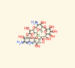 CC1OC(OC2C(CCl)OC(OC3C(OC4OC(CO)CC(O)C4N)CCC(N)C3O)C2O)C(N)C(O)C1OC1OC(CO)C(O)C(O)C1O